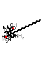 CCCCCCCCCCCCCCCc1c(N)cc(N)c(OC(C)C)c1C1(CC)C(C(=O)O)=C(C)N(CC)C(C)=C1C(=O)O